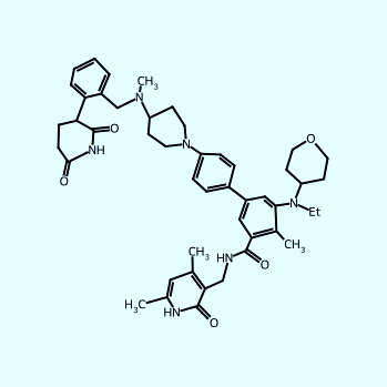 CCN(c1cc(-c2ccc(N3CCC(N(C)Cc4ccccc4C4CCC(=O)NC4=O)CC3)cc2)cc(C(=O)NCc2c(C)cc(C)[nH]c2=O)c1C)C1CCOCC1